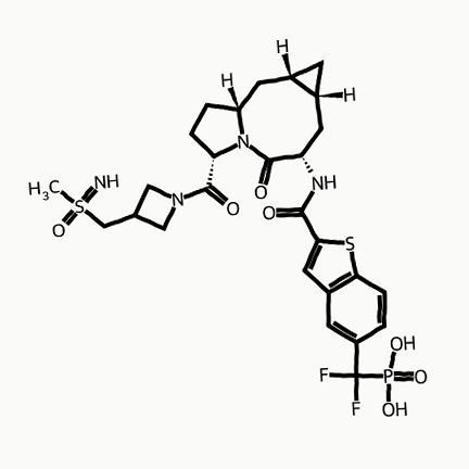 CS(=N)(=O)CC1CN(C(=O)[C@@H]2CC[C@@H]3C[C@@H]4C[C@@H]4C[C@H](NC(=O)c4cc5cc(C(F)(F)P(=O)(O)O)ccc5s4)C(=O)N32)C1